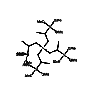 CO[Si](OC)(OC)C(C)C[Si](CC(C)[Si](OC)(OC)OC)(CC(C)[Si](OC)(OC)OC)CC(C)[Si](OC)(OC)OC